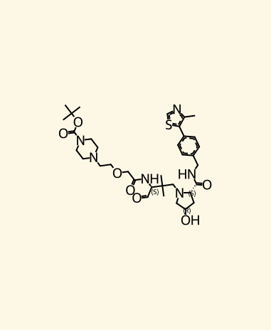 Cc1ncsc1-c1ccc(CNC(=O)[C@@H]2C[C@@H](O)CN2CC(C)(C)[C@@H](C=O)NC(=O)COCCN2CCN(C(=O)OC(C)(C)C)CC2)cc1